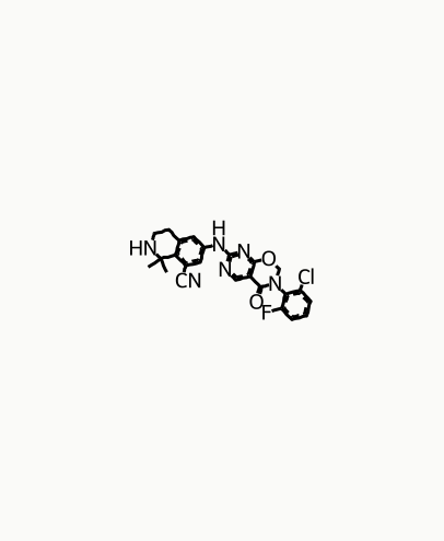 CC1(C)NCCc2cc(Nc3ncc4c(n3)OCN(c3c(F)cccc3Cl)C4=O)cc(C#N)c21